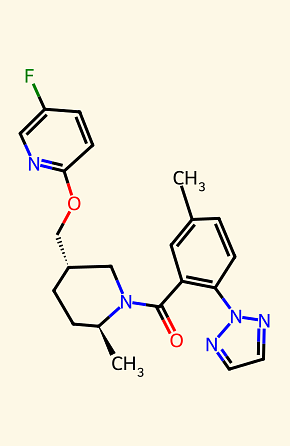 Cc1ccc(-n2nccn2)c(C(=O)N2C[C@@H](COc3ccc(F)cn3)CC[C@@H]2C)c1